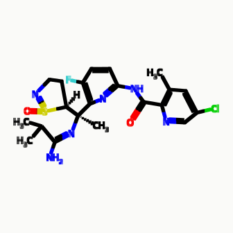 Cc1cc(Cl)cnc1C(=O)Nc1ccc(F)c([C@@]2(C)N=C(N)C(C)(C)[S@@]3(=O)=NCC[C@@H]23)n1